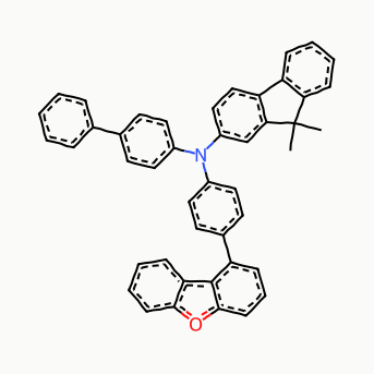 CC1(C)c2ccccc2-c2ccc(N(c3ccc(-c4ccccc4)cc3)c3ccc(-c4cccc5oc6ccccc6c45)cc3)cc21